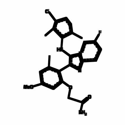 COc1cc(C)c(-c2nc3ccc(F)cn3c2Nc2c(C)ccc(Cl)c2C)c(OCC(N)=O)c1